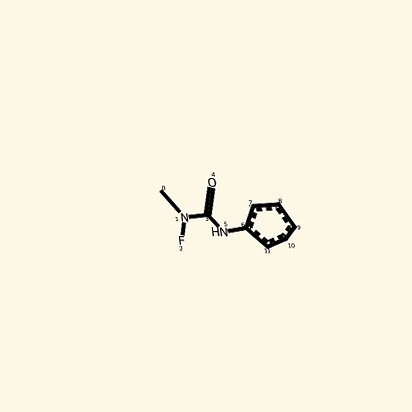 CN(F)C(=O)Nc1[c]cccc1